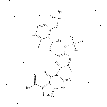 [2H]C(Oc1cc(-n2c(=O)[nH]c3csc(C(=O)O)c3c2=O)c(F)cc1OC([2H])([2H])[2H])c1c(OC([2H])([2H])[2H])ccc(F)c1F